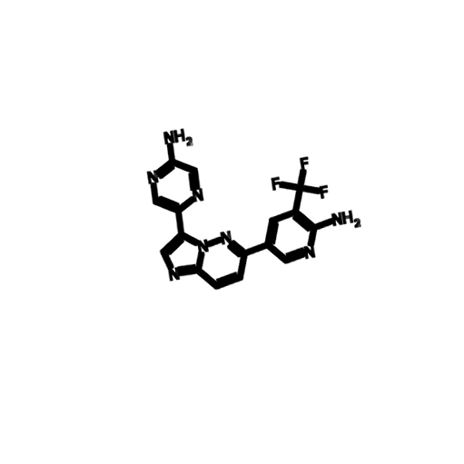 Nc1cnc(-c2cnc3ccc(-c4cnc(N)c(C(F)(F)F)c4)nn23)cn1